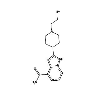 CC(C)CCN1CCC(c2nc3c(C(N)=O)cccc3[nH]2)CC1